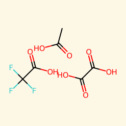 CC(=O)O.O=C(O)C(=O)O.O=C(O)C(F)(F)F